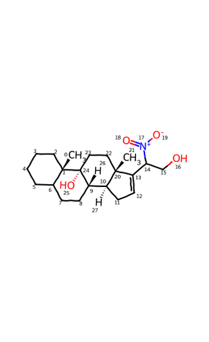 C[C@]12CCCCC1CC[C@H]1[C@@H]3CC=C(C(CO)[N+](=O)[O-])[C@@]3(C)CC[C@@]12O